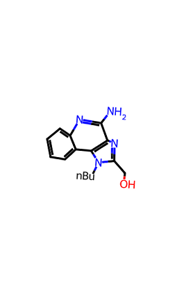 CCCCn1c(CO)nc2c(N)nc3ccccc3c21